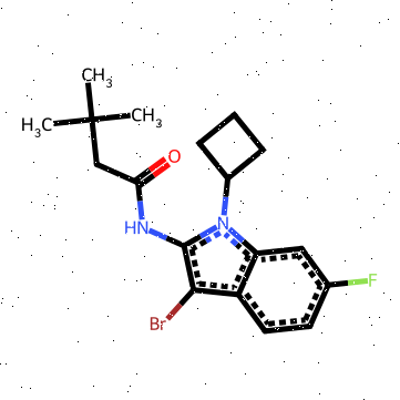 CC(C)(C)CC(=O)Nc1c(Br)c2ccc(F)cc2n1C1CCC1